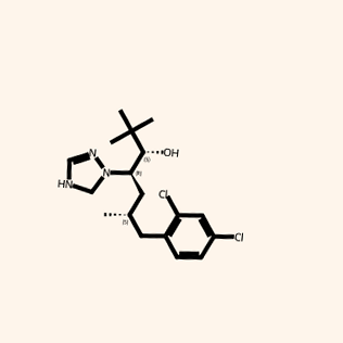 C[C@@H](Cc1ccc(Cl)cc1Cl)C[C@H]([C@@H](O)C(C)(C)C)N1CNC=N1